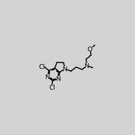 COCCN(C)CCCN1CCc2c(Cl)nc(Cl)nc21